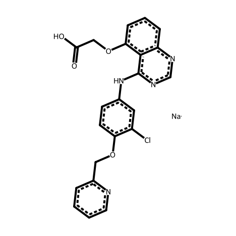 O=C(O)COc1cccc2ncnc(Nc3ccc(OCc4ccccn4)c(Cl)c3)c12.[Na]